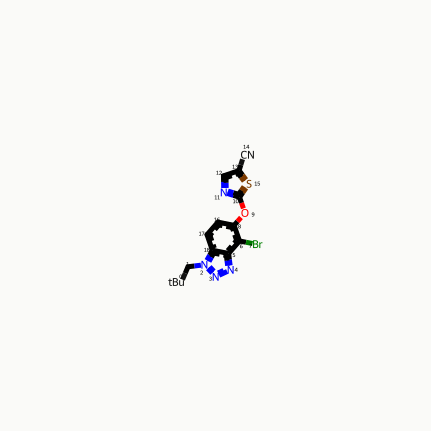 CC(C)(C)Cn1nnc2c(Br)c(Oc3ncc(C#N)s3)ccc21